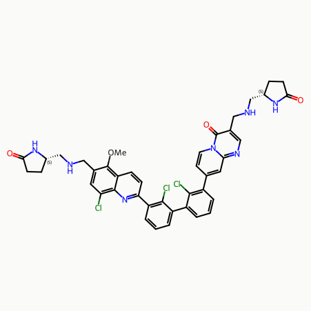 COc1c(CNC[C@@H]2CCC(=O)N2)cc(Cl)c2nc(-c3cccc(-c4cccc(-c5ccn6c(=O)c(CNC[C@@H]7CCC(=O)N7)cnc6c5)c4Cl)c3Cl)ccc12